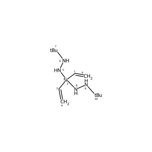 C=C[Si](C=C)(NNC(C)(C)C)NNC(C)(C)C